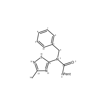 CCCCCC(=O)N(Cc1ccccc1)c1nc(C)ns1